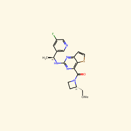 COC[C@@H]1CCN1C(=O)c1nc(N[C@@H](C)c2cncc(F)c2)nc2ccsc12